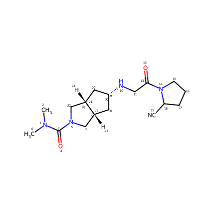 CN(C)C(=O)N1C[C@H]2C[C@@H](NCC(=O)N3CCCC3C#N)C[C@H]2C1